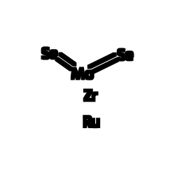 [Ru].[Se]=[Mo]=[Se].[Zr]